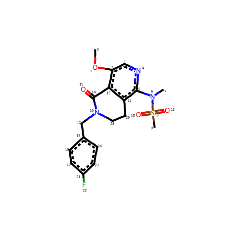 COc1cnc(N(C)S(C)(=O)=O)c2c1C(=O)N(Cc1ccc(F)cc1)CC2